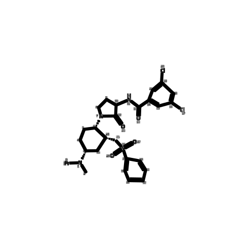 CC(C)N(C)[C@@H]1CC[C@H](N2CCC(NC(=O)c3cc(Cl)cc(Cl)c3)C2=O)[C@H](CS(=O)(=O)c2ccccc2)C1